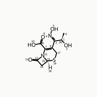 C[C@@H](O)C(=NO)C1=C(C(=O)O)N2C(=O)C[C@@H]2SC1